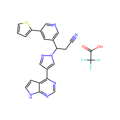 N#CCC(c1cncc(-c2cccs2)c1)n1cc(-c2ncnc3[nH]ccc23)cn1.O=C(O)C(F)(F)F